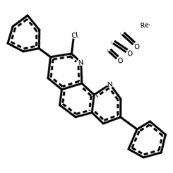 Clc1nc2c(ccc3cc(-c4ccccc4)cnc32)cc1-c1ccccc1.[C]=O.[C]=O.[C]=O.[Re]